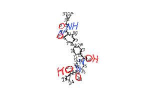 O=C(Nc1noc2cc(-c3ccc(C(O)N4CCN(C(=O)C5(O)CC5)CC4)cc3)ccc12)C1CC1